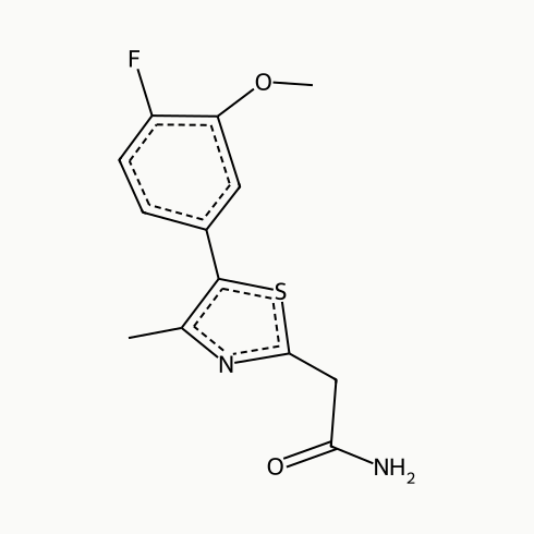 COc1cc(-c2sc(CC(N)=O)nc2C)ccc1F